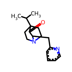 CC(C)C12CCN(CC1)C(Cc1ccccn1)C2=O